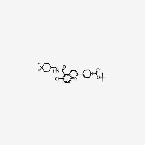 CC(C)(C)OC(=O)N1CC=C(c2ccc3c(C(=O)NCC4CCC(F)(F)CC4)c(Cl)ccc3n2)CC1